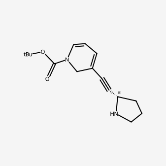 CC(C)(C)OC(=O)N1C=CC=C(C#C[C@@H]2CCCN2)C1